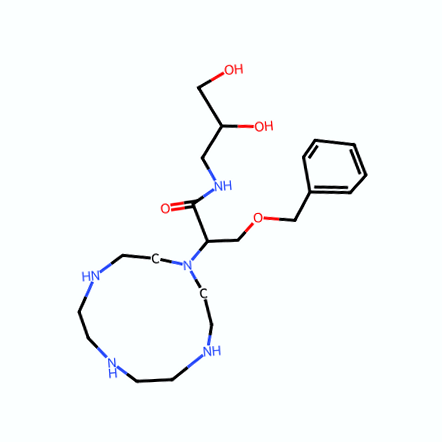 O=C(NCC(O)CO)C(COCc1ccccc1)N1CCNCCNCCNCC1